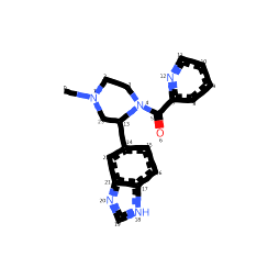 CN1CCN(C(=O)c2ccccn2)C(c2ccc3[nH]cnc3c2)C1